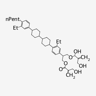 C=C(CO)C(=O)OCC(COC(O)C(=C)CO)c1ccc(C2CCC(C3CCC(c4ccc(CCCCC)c(CC)c4)CC3)CC2)c(CC)c1